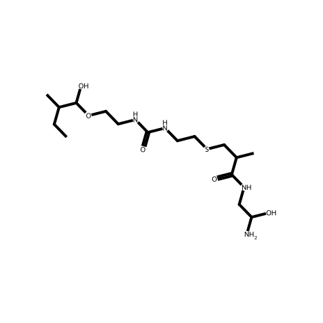 CCC(C)C(O)OCCNC(=O)NCCSCC(C)C(=O)NCC(N)O